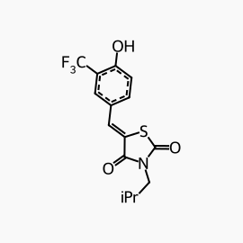 CC(C)CN1C(=O)S/C(=C\c2ccc(O)c(C(F)(F)F)c2)C1=O